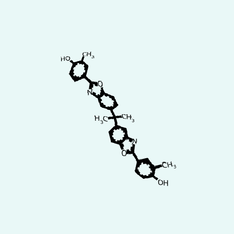 Cc1cc(-c2nc3cc(C(C)(C)c4ccc5oc(-c6ccc(O)c(C)c6)nc5c4)ccc3o2)ccc1O